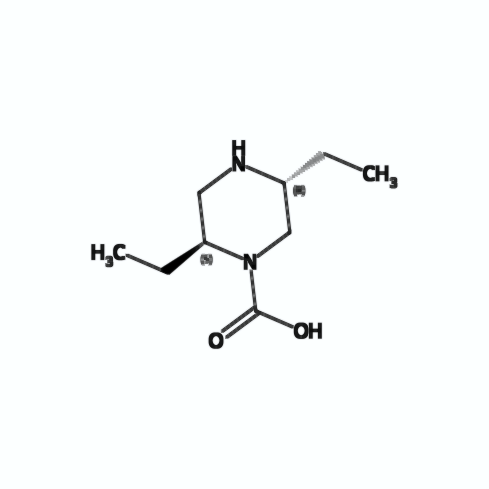 CC[C@@H]1CN(C(=O)O)[C@@H](CC)CN1